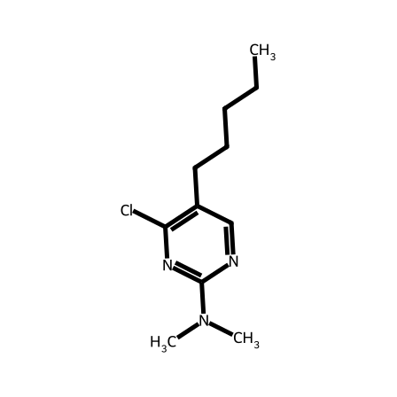 CCCCCc1cnc(N(C)C)nc1Cl